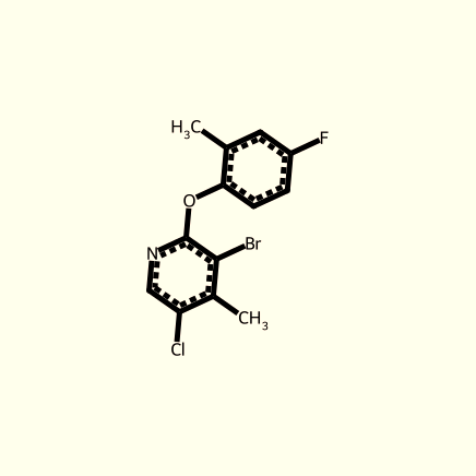 Cc1cc(F)ccc1Oc1ncc(Cl)c(C)c1Br